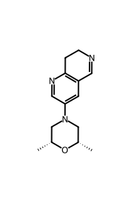 C[C@@H]1CN(c2cnc3c(c2)C=NCC3)C[C@H](C)O1